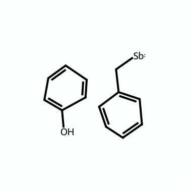 Oc1ccccc1.[Sb][CH2]c1ccccc1